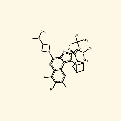 CN(C)Cc1nc2c(N3CC(N(C)C)C3)nc3c(F)c(Br)c(Cl)cc3c2n1C1C2CC1N(C(=O)OC(C)(C)C)C2